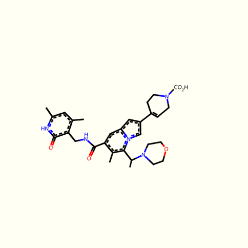 Cc1cc(C)c(CNC(=O)c2cc3cc(C4=CCN(C(=O)O)CC4)cn3c(C(C)N3CCOCC3)c2C)c(=O)[nH]1